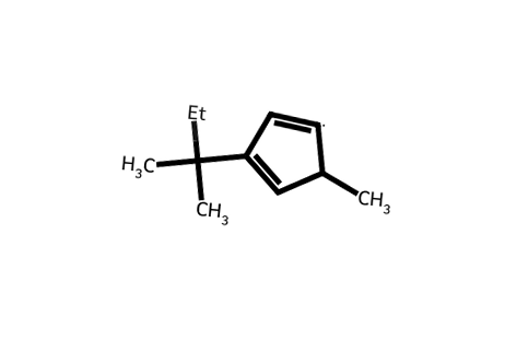 CCC(C)(C)C1=CC(C)[C]=C1